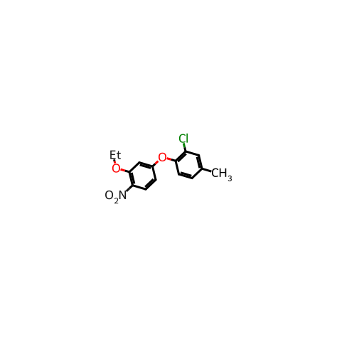 CCOc1cc(Oc2ccc(C)cc2Cl)ccc1[N+](=O)[O-]